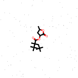 CC1CC(OC(=O)C(C)(CC(C)(C)C)C(C)(C)C)C(=O)O1